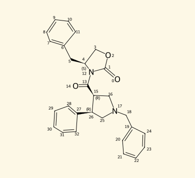 O=C1OC[C@H](Cc2ccccc2)N1C(=O)[C@H]1CN(Cc2ccccc2)C[C@H]1c1ccccc1